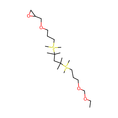 CCOCOCCCS(C)(C)C(C)(C)CC(C)(C)S(C)(C)CCCOCC1CO1